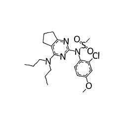 CCCN(CCC)c1nc(N(c2ccc(OC)cc2Cl)S(C)(=O)=O)nc2c1CCC2